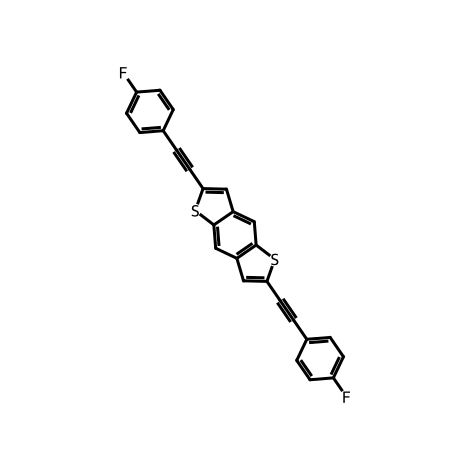 Fc1ccc(C#Cc2cc3cc4sc(C#Cc5ccc(F)cc5)cc4cc3s2)cc1